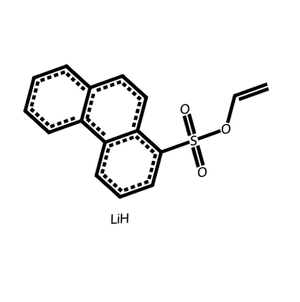 C=COS(=O)(=O)c1cccc2c1ccc1ccccc12.[LiH]